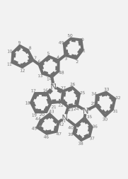 c1ccc(-c2cc(-c3ccccc3)cc(-n3c4ccccc4c4c5c(ccc43)N(c3ccccc3)c3ccccc3N5c3ccccc3)c2)cc1